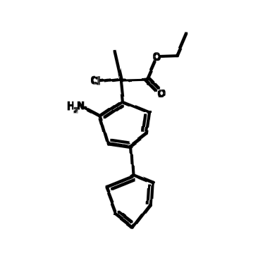 CCOC(=O)C(C)(Cl)c1ccc(-c2ccccc2)cc1N